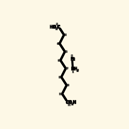 CCN.O=C(O)CCCCCCCCC(=O)O